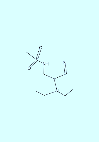 CCN(CC)C([C]=S)CNS(C)(=O)=O